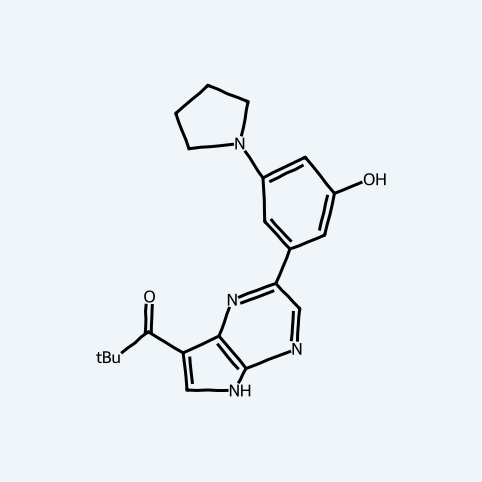 CC(C)(C)C(=O)c1c[nH]c2ncc(-c3cc(O)cc(N4CCCC4)c3)nc12